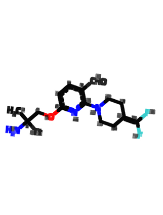 CCC(C)(N)COc1ccc(C=O)c(N2CCC(=C(F)F)CC2)n1